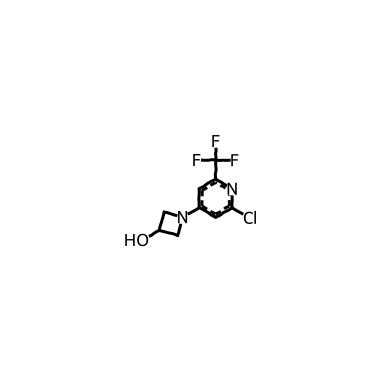 OC1CN(c2cc(Cl)nc(C(F)(F)F)c2)C1